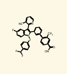 Cc1cc(C(=O)N=O)ccc1-c1cccc(-c2c(-c3ncccc3C#N)c3cc(F)ccc3n2Sc2ccc(C(F)F)cc2)c1